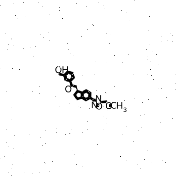 COCc1nc(-c2ccc3c(c2)CC[C@H]3CC(=O)c2cccc(CO)c2)no1